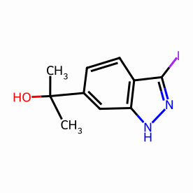 CC(C)(O)c1ccc2c(I)n[nH]c2c1